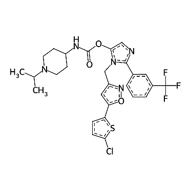 CC(C)N1CCC(NC(=O)Oc2cnc(-c3cccc(C(F)(F)F)c3)n2Cc2cc(-c3ccc(Cl)s3)on2)CC1